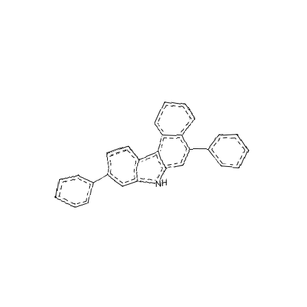 c1ccc(-c2ccc3c(c2)[nH]c2cc(-c4ccccc4)c4ccccc4c23)cc1